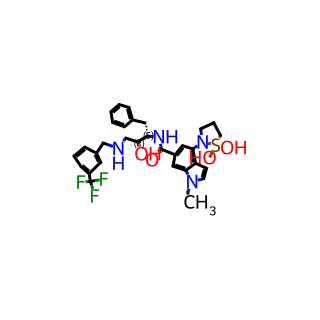 CCn1ccc2c(N3CCCS3(O)O)cc(C(=O)N[C@@H](Cc3ccccc3)[C@H](O)CNCc3cccc(C(F)(F)F)c3)cc21